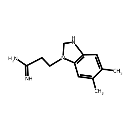 Cc1cc2c(cc1C)N(CCC(=N)N)CN2